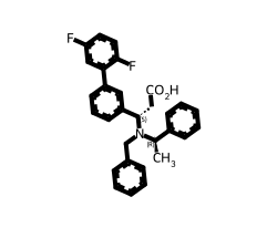 C[C@H](c1ccccc1)N(Cc1ccccc1)[C@@H](CC(=O)O)c1cccc(-c2cc(F)ccc2F)c1